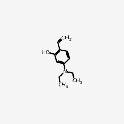 C=Cc1ccc(N(CC)CC)cc1O